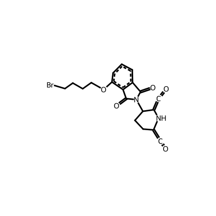 O=C=C1CCC(N2C(=O)c3cccc(OCCCCBr)c3C2=O)C(=C=O)N1